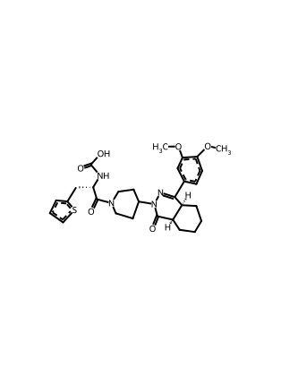 COc1ccc(C2=NN(C3CCN(C(=O)[C@H](Cc4cccs4)NC(=O)O)CC3)C(=O)[C@@H]3CCCC[C@H]23)cc1OC